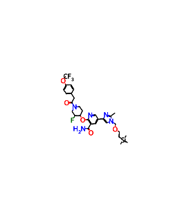 Cc1nc(-c2cnc(O[C@@H]3CCN(C(=O)Cc4ccc(OC(F)(F)F)cc4)C[C@@H]3F)c(C(N)=O)c2)cn1COCC[Si](C)(C)C